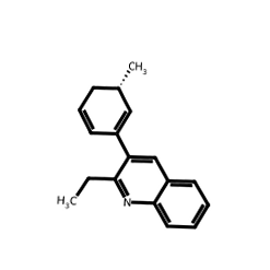 CCc1nc2ccccc2cc1C1=C[C@@H](C)CC=C1